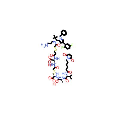 CC(C)[C@H](NC(=O)CCCCCN1C(=O)C=CC1=O)C(=O)N[C@@H](C)C(=O)N[C@@H](CSCC(=O)NC[C@@H](NC(=O)CCSCC(=O)N(CCCN)[C@@H](c1cc(-c2cc(F)ccc2F)cn1Cc1ccccc1)C(C)(C)C)C(=O)O)C(=O)O